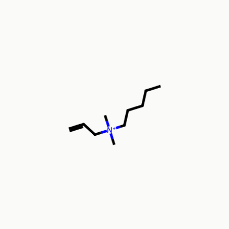 C=CC[N+](C)(C)CCCCC